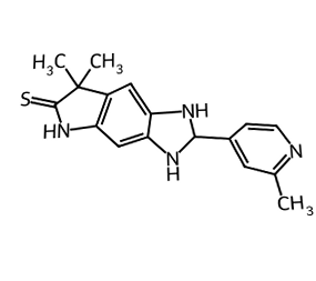 Cc1cc(C2Nc3cc4c(cc3N2)C(C)(C)C(=S)N4)ccn1